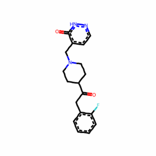 O=C(Cc1ccccc1F)C1CCN(Cc2ccn[nH]c2=O)CC1